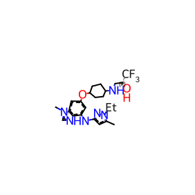 CCn1nc(Nc2cc(OC3CCC(NC[C@@H](O)C(F)(F)F)CC3)cc3c2ncn3C)cc1C